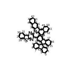 c1ccc2c(c1)-c1ccccc1C21c2ccccc2-c2ccc(-c3nc4sc5ccccc5c4nc3-n3c4cc5ccccc5cc4c4c5ccccc5ccc43)cc21